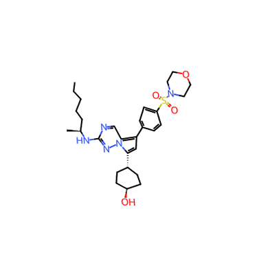 CCCCC[C@H](C)Nc1ncc2c(-c3ccc(S(=O)(=O)N4CCOCC4)cc3)cc([C@H]3CC[C@H](O)CC3)n2n1